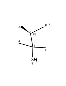 C[C@@H](F)C(C)(C)S